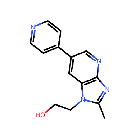 Cc1nc2ncc(-c3ccncc3)cc2n1CCO